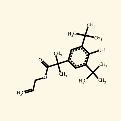 C=CCOC(=O)C(C)(C)c1cc(C(C)(C)C)c(O)c(C(C)(C)C)c1